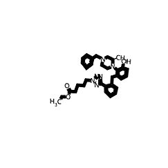 CCOC(=O)CCCCn1nnc(-c2ccccc2Cc2cccc(O)c2N2CCN(Cc3ccccc3)C[C@@H]2C)n1